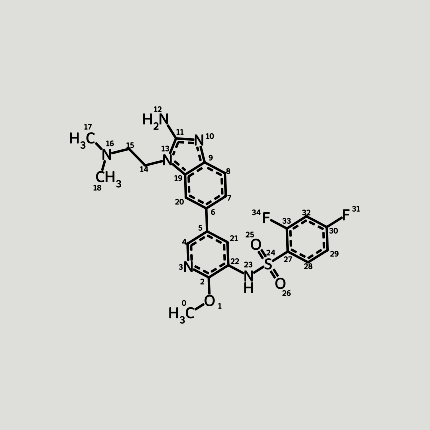 COc1ncc(-c2ccc3nc(N)n(CCN(C)C)c3c2)cc1NS(=O)(=O)c1ccc(F)cc1F